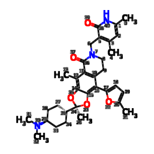 Cc1cc(C)c(CN2CCc3c(c(C)c4c(c3-c3ccc(C)o3)O[C@@](C)([C@H]3CC[C@H](N(C)C)CC3)O4)C2=O)c(=O)[nH]1